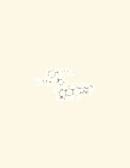 COc1cccc(OC)c1-c1ccc(-c2ccnc3ccc(/C=C4/SC(=O)NC4=O)cc23)s1